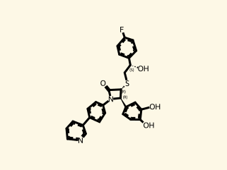 O=C1[C@H](SC[C@@H](O)c2ccc(F)cc2)[C@@H](c2ccc(O)c(O)c2)N1c1ccc(-c2cccnc2)cc1